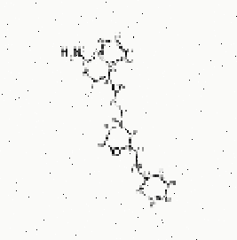 Nc1ccc(OCCN2CCOC(COc3ccccc3)C2)c2ccccc12